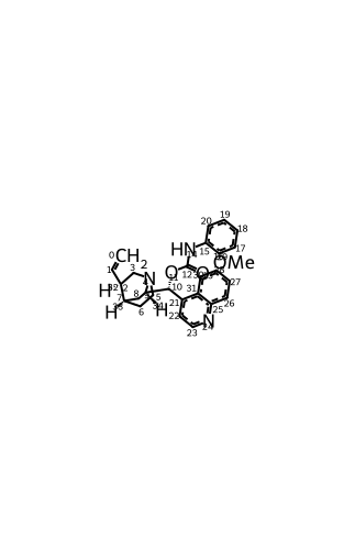 C=C[C@H]1CN2CC[C@H]1C[C@H]2[C@H](OC(=O)Nc1ccccc1)c1ccnc2ccc(OC)cc12